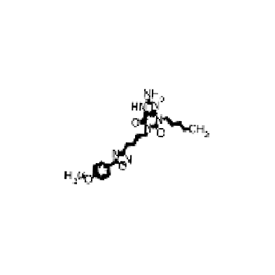 CCCCCn1c(=O)n(CCCCc2noc(-c3ccc(OC)cc3)n2)c(=O)c2[nH]c(N)nc21